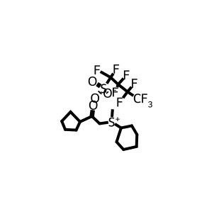 C[S+](CC(=O)C1CCCC1)C1CCCCC1.O=S(=O)([O-])C(F)(F)C(F)(F)C(F)(F)C(F)(F)F